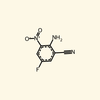 N#Cc1cc(F)cc([N+](=O)[O-])c1N